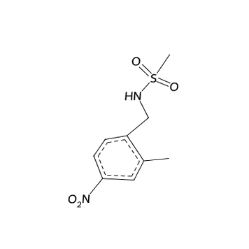 Cc1cc([N+](=O)[O-])ccc1CNS(C)(=O)=O